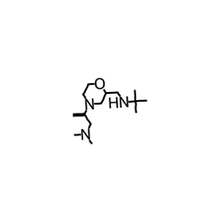 C=C(CN(C)C)N1CCOC(CNC(C)(C)C)C1